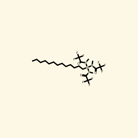 CCCCCCCCCCCCC[Si](N(C)C(=O)C(F)(F)F)(N(C)C(=O)C(F)(F)F)N(C)C(=O)C(F)(F)F